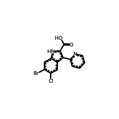 O=C(O)c1[nH]c2cc(Br)c(Cl)cc2c1-c1ccccn1